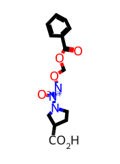 O=C(OCO/N=[N+](\[O-])N1CCC(C(=O)O)C1)c1ccccc1